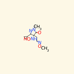 CON=CCC1(NO)C(=O)N(C)N=C1C1CC1